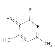 CN/C=C(/C)C(=N)C(F)F